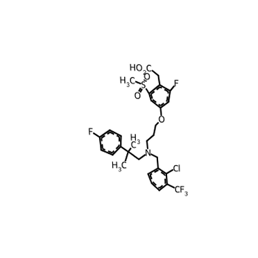 CC(C)(CN(CCCOc1cc(F)c(CC(=O)O)c(S(C)(=O)=O)c1)Cc1cccc(C(F)(F)F)c1Cl)c1ccc(F)cc1